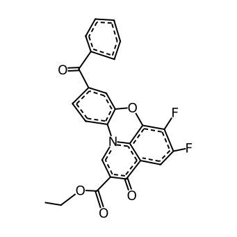 CCOC(=O)c1cn2c3c(c(F)c(F)cc3c1=O)Oc1cc(C(=O)c3ccccc3)ccc1-2